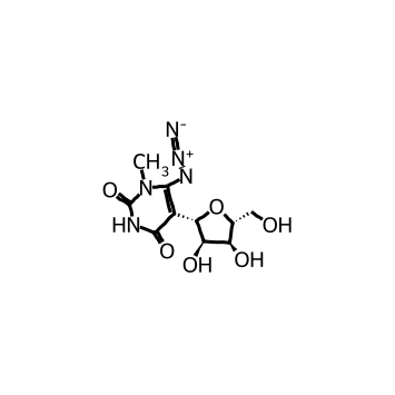 Cn1c(N=[N+]=[N-])c([C@@H]2O[C@H](CO)[C@@H](O)[C@H]2O)c(=O)[nH]c1=O